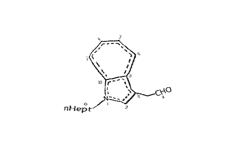 CCCCCCCn1cc(C=O)c2ccccc21